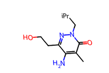 Cc1c(N)c(CCO)nn(CC(C)C)c1=O